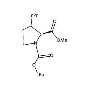 CCCC1CCN(C(=O)OC(C)(C)C)[C@@H]1C(=O)OC